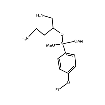 CCOc1ccc([Si](OC)(OC)OC(CN)CCN)cc1